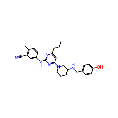 CCCc1cc(N2CCC[C@H](NCc3ccc(O)cc3)C2)nc(Nc2ccc(C)c(C#N)c2)n1